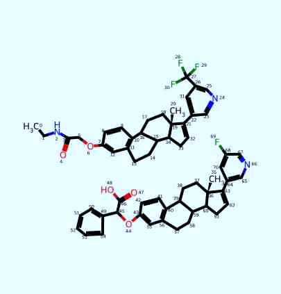 CCNC(=O)COc1ccc2c(c1)CCC1C2CC[C@]2(C)C(c3cncc(C(F)(F)F)c3)=CCC12.C[C@]12CCC3c4ccc(OC(C(=O)O)c5ccccc5)cc4CCC3C1CC=C2c1cncc(F)c1